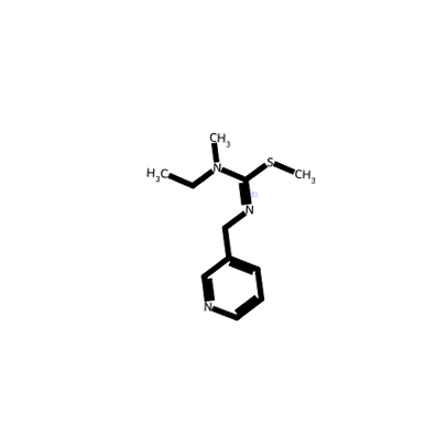 CCN(C)/C(=N\Cc1cccnc1)SC